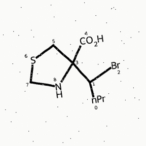 CCCC(Br)C1(C(=O)O)CSCN1